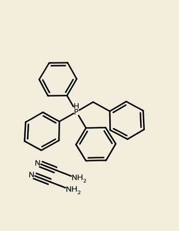 N#CN.N#CN.c1ccc(C[PH](c2ccccc2)(c2ccccc2)c2ccccc2)cc1